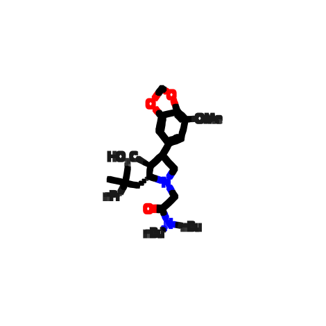 CCCCN(CCCC)C(=O)CN1CC(c2cc(OC)c3c(c2)OCO3)[C@H](C(=O)O)[C@H]1CC(C)(C)CCC